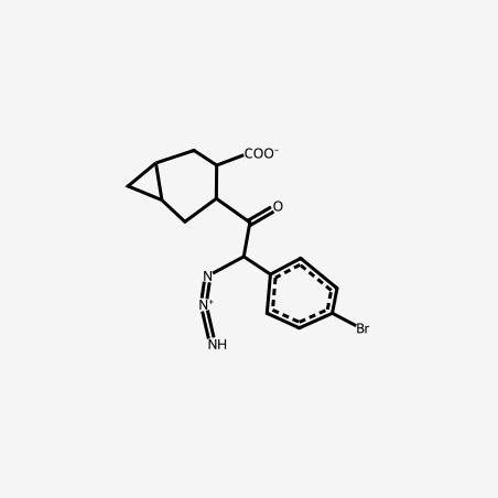 N=[N+]=NC(C(=O)C1CC2CC2CC1C(=O)[O-])c1ccc(Br)cc1